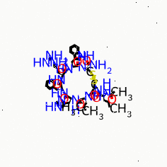 CCCC[C@H](NC(C)=O)C(=O)N[C@H]1CSSC[C@@H](C(N)=O)NC(=O)[C@H](Cc2c[nH]c3ccccc23)NC(=O)[C@H](CCCNC(=N)N)NC(=O)[C@@H](Cc2ccccc2)NC(=O)[C@H](Cc2c[nH]cn2)NC(=O)[C@@H](CC(C)C)NC1=O